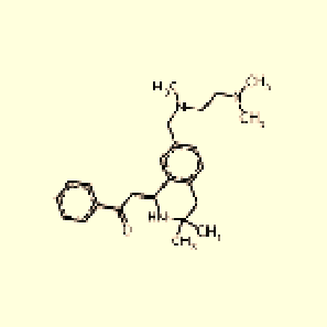 CN(C)CCN(C)Cc1ccc2c(c1)C(=CC(=O)c1ccccc1)NC(C)(C)C2